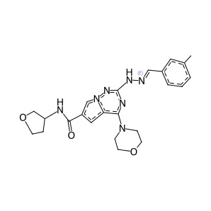 Cc1cccc(/C=N/Nc2nc(N3CCOCC3)c3cc(C(=O)NC4CCOC4)cn3n2)c1